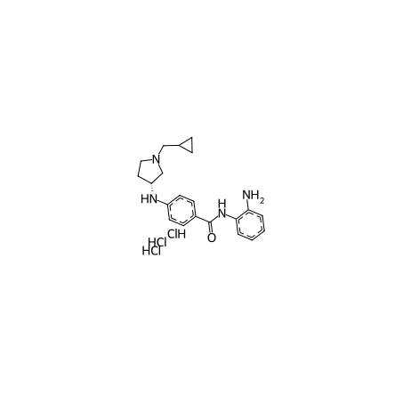 Cl.Cl.Cl.Nc1ccccc1NC(=O)c1ccc(N[C@@H]2CCN(CC3CC3)C2)cc1